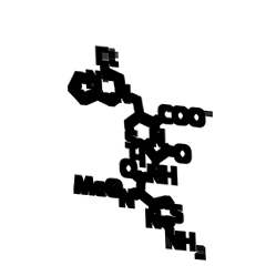 CCc1cn(CC2=C(C(=O)[O-])N3C(=O)[C@@H](NC(=O)/C(=N\OC)c4csc(N)n4)[C@H]3SC2)cc2ccc[n+]1-2